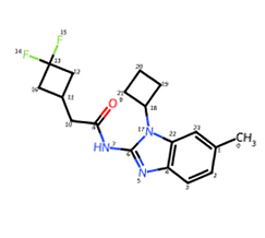 Cc1ccc2nc(NC(=O)CC3CC(F)(F)C3)n(C3CCC3)c2c1